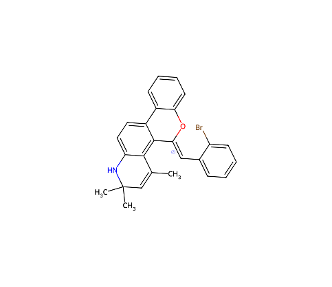 CC1=CC(C)(C)Nc2ccc3c(c21)/C(=C/c1ccccc1Br)Oc1ccccc1-3